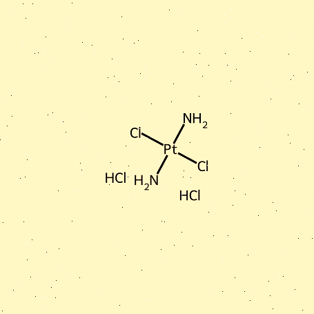 Cl.Cl.[NH2][Pt]([NH2])([Cl])[Cl]